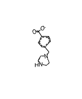 [O]C(=O)c1ccc(CN2CCNCC2)cc1